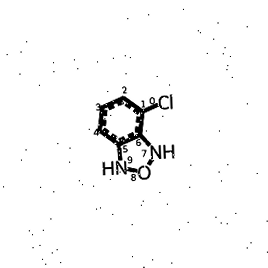 Clc1cccc2c1NON2